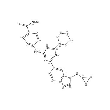 CNC(=O)c1ccc(Nc2cc(-c3ccc4cnn(CC5CC5)c4c3)nc(N3CCOCC3)n2)cc1